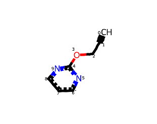 C#CCOc1n[c]ccn1